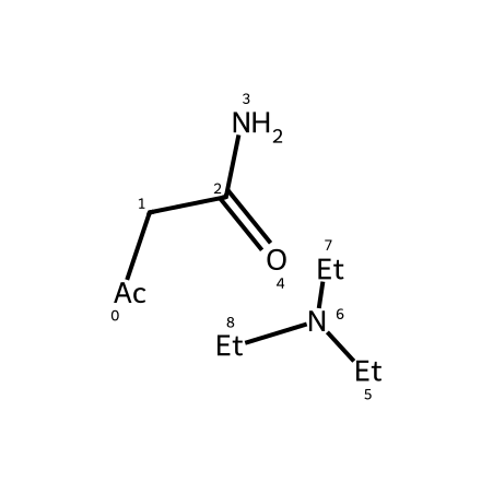 CC(=O)CC(N)=O.CCN(CC)CC